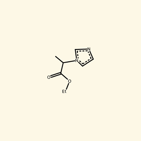 CCOC(=O)C(C)n1ccnc1